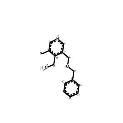 Cc1cncc(COCc2ccccc2)c1CN